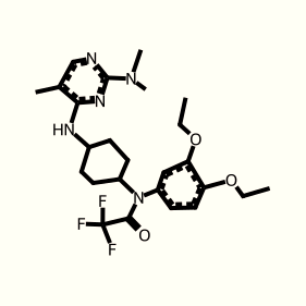 CCOc1ccc(N(C(=O)C(F)(F)F)C2CCC(Nc3nc(N(C)C)ncc3C)CC2)cc1OCC